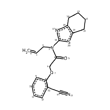 C=CCN(C(=O)COc1ccccc1C#N)c1nc2c(s1)CCCC2